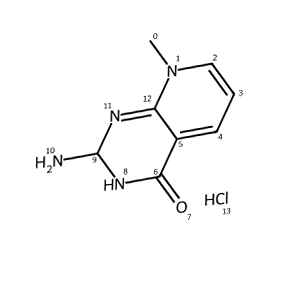 CN1C=CC=C2C(=O)NC(N)N=C21.Cl